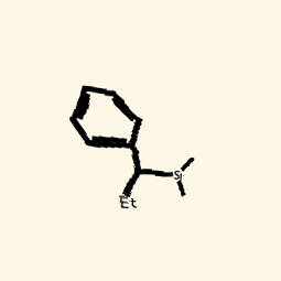 CCC(c1ccccc1)[Si](C)C